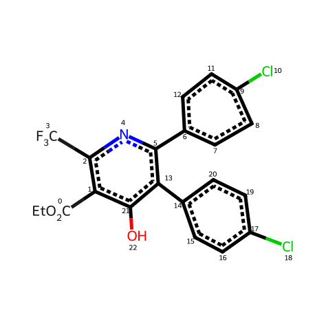 CCOC(=O)c1c(C(F)(F)F)nc(-c2ccc(Cl)cc2)c(-c2ccc(Cl)cc2)c1O